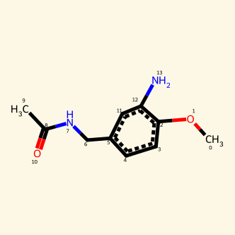 COc1ccc(CNC(C)=O)cc1N